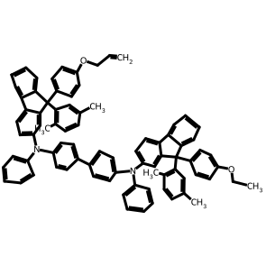 C=CCOc1ccc(C2(c3cc(C)ccc3C)c3ccccc3-c3ccc(N(c4ccccc4)c4ccc(-c5ccc(N(c6ccccc6)c6ccc7c(c6)C(c6ccc(OCC)cc6)(c6cc(C)ccc6C)c6ccccc6-7)cc5)cc4)cc32)cc1